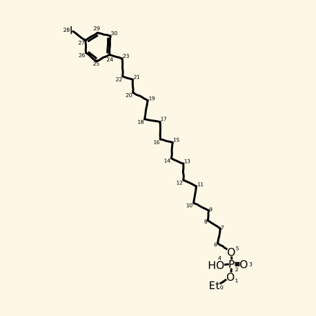 CCOP(=O)(O)OCCCCCCCCCCCCCCCCCCc1ccc(I)cc1